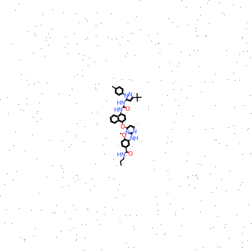 CCCNC(=O)c1ccc(OC)c(Nc2nccc(Oc3ccc(NC(=O)Nc4cc(C(C)(C)C)nn4-c4ccc(C)cc4)c4ccccc34)n2)c1